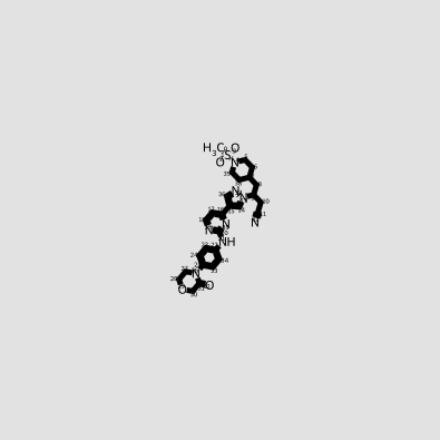 CS(=O)(=O)N1CCC(CC(CC#N)n2cc(-c3ccnc(Nc4ccc(N5CCOCC5=O)cc4)n3)cn2)CC1